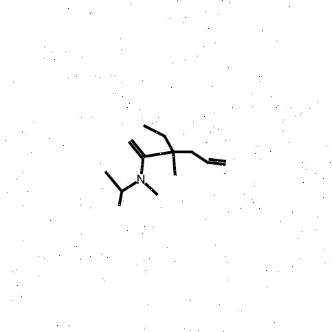 C=CCC(C)(CC)C(=C)N(C)C(C)C